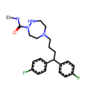 CC[N]C(=O)N1CCN(CCCC(c2ccc(F)cc2)c2ccc(F)cc2)CCN1